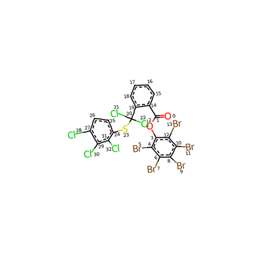 O=C(Oc1c(Br)c(Br)c(Br)c(Br)c1Br)c1ccccc1C(Cl)(Cl)Sc1ccc(Cl)c(Cl)c1Cl